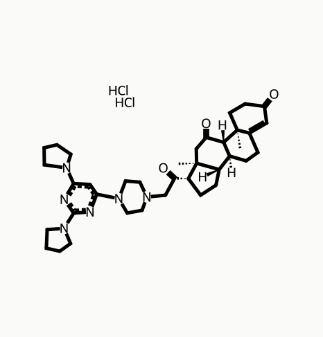 C[C@]12CC(=O)[C@H]3[C@@H](CCC4=CC(=O)CC[C@@]43C)[C@@H]1CC[C@@H]2C(=O)CN1CCN(c2cc(N3CCCC3)nc(N3CCCC3)n2)CC1.Cl.Cl